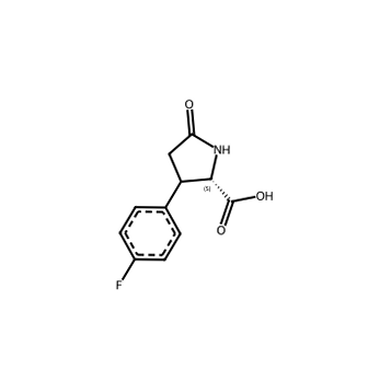 O=C1CC(c2ccc(F)cc2)[C@@H](C(=O)O)N1